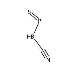 N#CBP=S